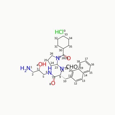 Cl.NCC(O)CNC(=O)[C@@H](Cc1ccc2ccccc2c1)N(C=O)C1CCCN1C(=O)C1CCCCC1